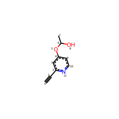 C#Cc1cc(OC(C)O)ccn1